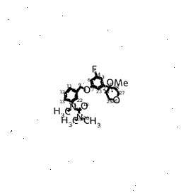 COC1(c2cc(F)cc(OCc3cccc(N(C)C(=O)N(C)C)c3)c2)CCOCC1